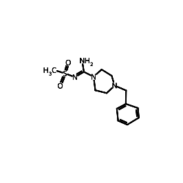 CS(=O)(=O)N=C(N)N1CCN(Cc2ccccc2)CC1